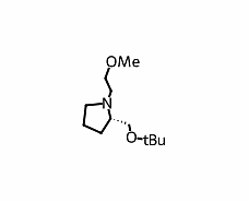 COCCN1CCC[C@H]1COC(C)(C)C